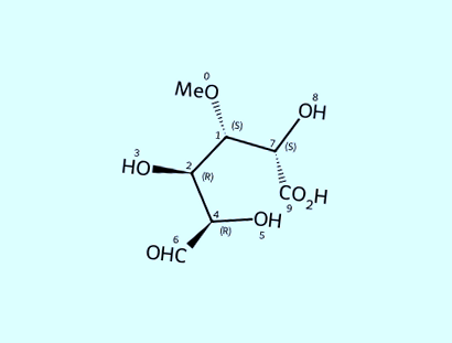 CO[C@@H]([C@H](O)[C@@H](O)C=O)[C@H](O)C(=O)O